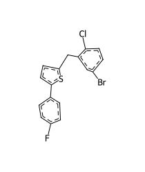 Fc1ccc(-c2ccc(Cc3cc(Br)ccc3Cl)s2)cc1